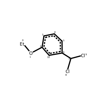 CCOc1cc[c]c(C(Cl)Cl)c1